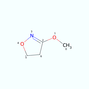 COC1=NO[CH]C1